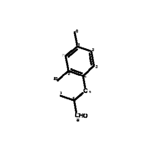 Cc1ccc(OC(C)C=O)c(C)c1